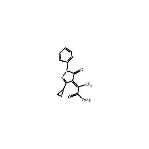 COC(=O)/C(=C1/C(=O)N(c2ccccc2)N=C1C1CC1)C(F)(F)F